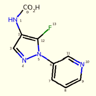 O=C(O)Nc1cnn(-c2cccnc2)c1F